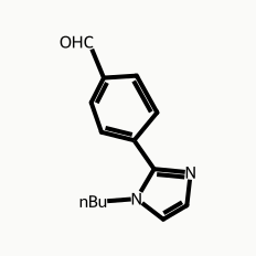 CCCCn1ccnc1-c1ccc(C=O)cc1